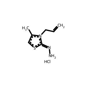 C=CCn1c(C)csc1=NN.Cl